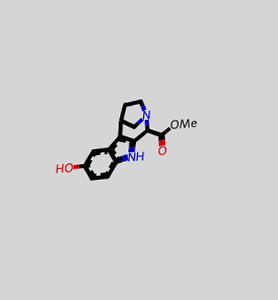 COC(=O)C1c2[nH]c3ccc(O)cc3c2C2CCN1C2